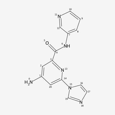 Nc1cc(C(=O)Nc2cccnc2)nc(-n2ccnc2)c1